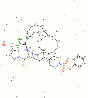 O=C(C1C2CC(C3CCN(S(=O)(=O)Cc4ccccc4)CC3)C34CCCCCC(CCC3)C3CCCCC(CCC3)C1(C(F)(F)F)NN2C4)N1CCC(CO)C1